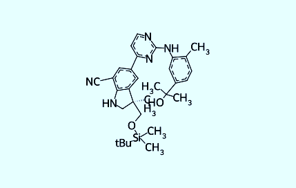 Cc1ccc(C(C)(C)O)cc1Nc1nccc(-c2cc(C#N)c3c(c2)[C@@](C)(CO[Si](C)(C)C(C)(C)C)CN3)n1